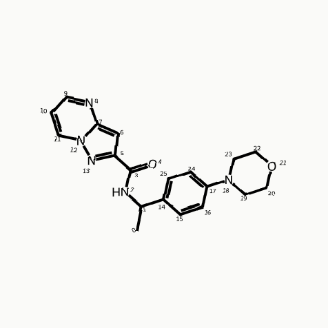 CC(NC(=O)c1cc2ncccn2n1)c1ccc(N2CCOCC2)cc1